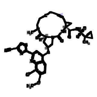 COc1ccc2c(O[C@H]3C[C@H]4C(=O)N(C)CCCC/C=C\C5C[C@@]5(C(=O)NS(=O)(=O)C5(C)CC5)NC(=O)N4C3)cc(-c3nc(C#N)cs3)nc2c1Cl